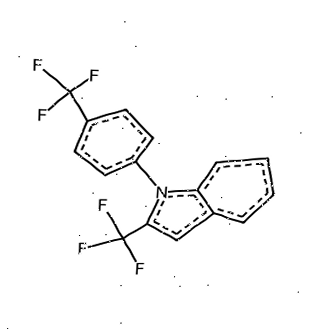 FC(F)(F)c1ccc(-n2c(C(F)(F)F)cc3ccccc32)cc1